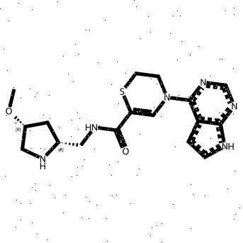 CO[C@H]1CN[C@@H](CNC(=O)C2=CN(c3ncnc4[nH]ccc34)CCS2)C1